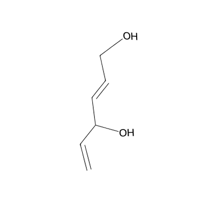 C=CC(O)C=CCO